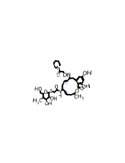 C[C@@H]1C(CO)O[C@@H](SCC(=O)N[C@H]2/C=C/C[C@@H](C)OC(=O)c3c(O)cc(O)cc3CC(=N/OCC(=O)N3CCCCC3)/C=C/C2)[C@@H](O)C1O